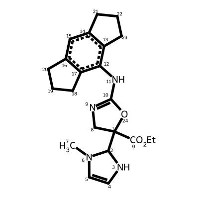 CCOC(=O)C1(C2NC=CN2C)CN=C(Nc2c3c(cc4c2CCC4)CCC3)O1